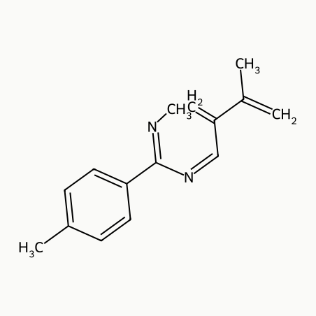 C=C(C)C(=C)/C=N\C(=N/C)c1ccc(C)cc1